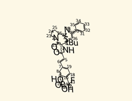 CC(C)(C)C(NC(=O)/C=C/c1ccc(C(F)(F)P(=O)(O)O)cc1)C(=O)N1CCC[C@H]1c1nc(-c2ccccc2)cs1